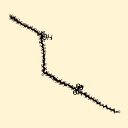 CCCCCCCCCCCCCCCCCCCCCC[C@@H](C(=O)OC)[C@H](O)CCCCCCCCCCCCCCCCC[C@H](C)/C=C/CCCCCCCCCCCCCCC[C@H](O)[C@H](C)CCCCCCCCCCCCCCCCCC